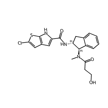 CN(C(=O)CCO)[C@@H]1c2ccccc2C[C@H]1NC(=O)c1cc2cc(Cl)sc2[nH]1